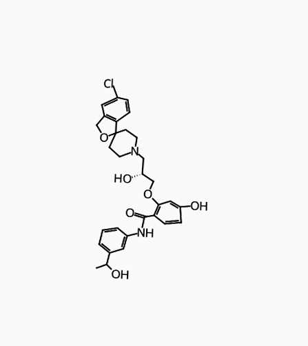 CC(O)c1cccc(NC(=O)c2ccc(O)cc2OC[C@H](O)CN2CCC3(CC2)OCc2cc(Cl)ccc23)c1